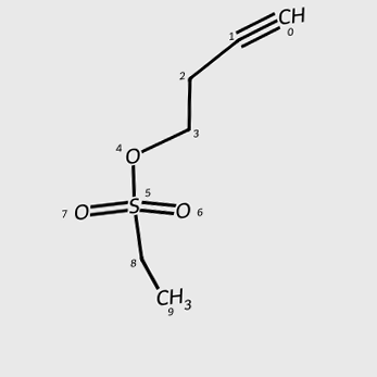 C#CCCOS(=O)(=O)CC